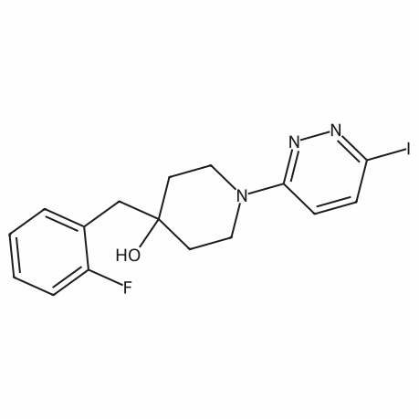 OC1(Cc2ccccc2F)CCN(c2ccc(I)nn2)CC1